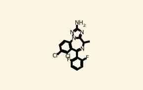 CC1N=C(c2c(F)cccc2F)c2c(ccc(Cl)c2Cl)-n2nc(N)nc21